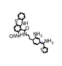 COc1ccc2c(c1C(=O)NCCC1C=C/C(=C(/N)c3cccs3)C=C1N)Nc1ccccc1S2